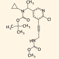 COC(=O)NCC#Cc1cc(C(C)N(C(=O)OC(C)(C)C)C2CC2)cnc1Cl